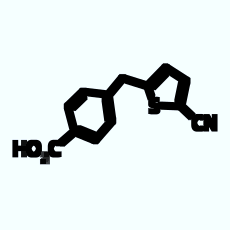 N#Cc1ccc(Cc2ccc(C(=O)O)cc2)s1